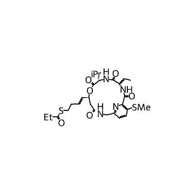 C/C=C1\NC(=O)c2nc(ccc2SC)CNC(=O)C[C@@H](/C=C/CCSC(=O)CC)OC(=O)[C@H](C(C)C)NC1=O